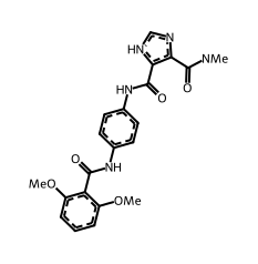 CNC(=O)c1nc[nH]c1C(=O)Nc1ccc(NC(=O)c2c(OC)cccc2OC)cc1